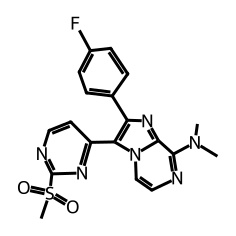 CN(C)c1nccn2c(-c3ccnc(S(C)(=O)=O)n3)c(-c3ccc(F)cc3)nc12